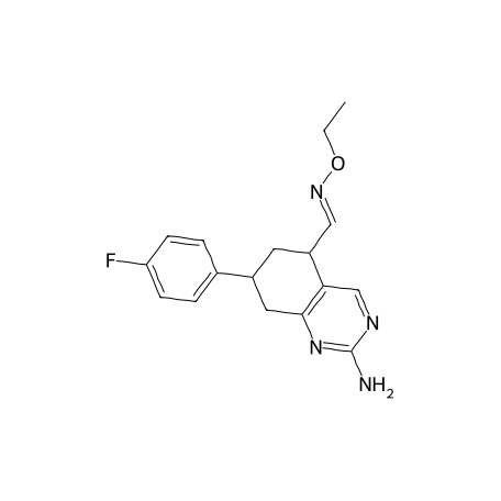 CCON=CC1CC(c2ccc(F)cc2)Cc2nc(N)ncc21